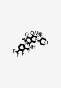 COc1c(=O)n([C@@H]2CCOC[C@H]2F)cc2c(N[C@H](C)c3cccc(C(F)F)c3F)nn(C)c(=O)c12